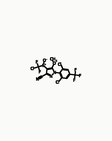 COc1c([S+]([O-])C(F)(F)Cl)c(C#N)nn1-c1c(Cl)cc(C(F)(F)F)cc1Cl